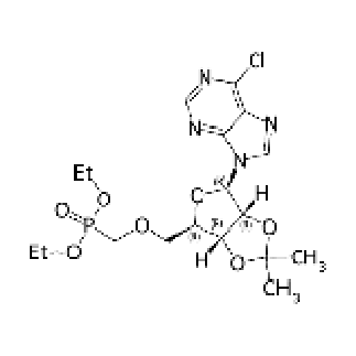 CCOP(=O)(COC[C@H]1O[C@@H](n2cnc3c(Cl)ncnc32)[C@@H]2OC(C)(C)O[C@@H]21)OCC